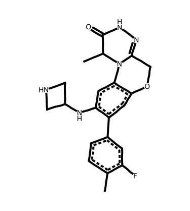 Cc1ccc(-c2cc3c(cc2NC2CNC2)N2C(=NNC(=O)C2C)CO3)cc1F